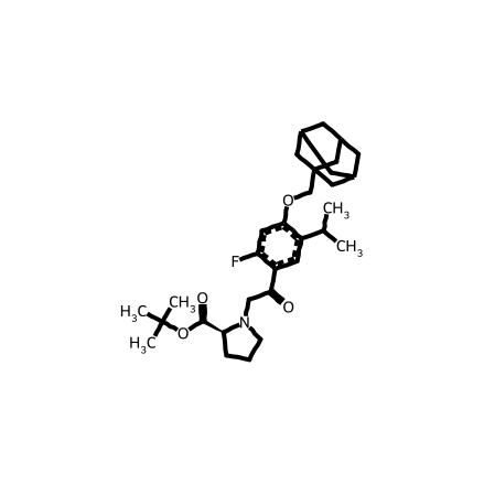 CC(C)c1cc(C(=O)CN2CCC[C@H]2C(=O)OC(C)(C)C)c(F)cc1OCC12CC3CC(CC(C3)C1)C2